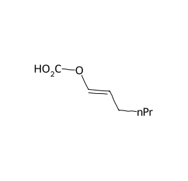 CCCCC=COC(=O)O